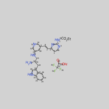 CCOC(=O)Nc1nccc(C=Cc2cncc(NC[C@@H](N)Cc3c[nH]c4ccccc34)c2)n1.O=C(O)C(F)(F)F